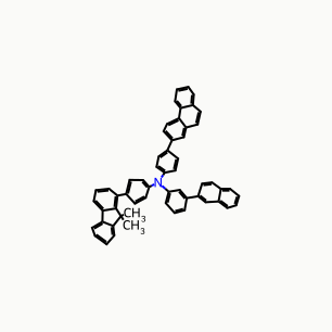 CC1(C)c2ccccc2-c2cccc(-c3ccc(N(c4ccc(-c5ccc6c(ccc7ccccc76)c5)cc4)c4cccc(-c5ccc6ccccc6c5)c4)cc3)c21